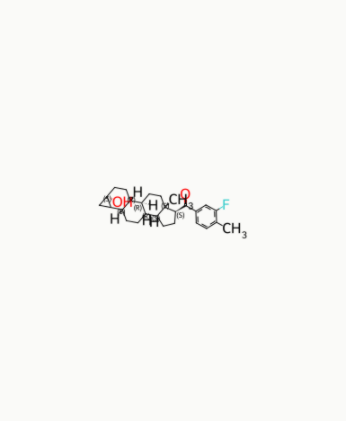 Cc1ccc(C(=O)[C@H]2CC[C@H]3[C@@H]4CC[C@@H]5C6C[C@@]6(O)CC[C@@H]5[C@H]4CC[C@]23C)cc1F